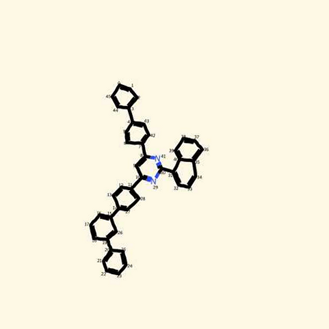 c1ccc(-c2ccc(-c3cc(-c4ccc(-c5cccc(-c6ccccc6)c5)cc4)nc(-c4cccc5ccccc45)n3)cc2)cc1